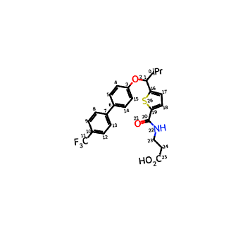 CC(C)C(Oc1ccc(-c2ccc(C(F)(F)F)cc2)cc1)c1ccc(C(=O)NCCC(=O)O)s1